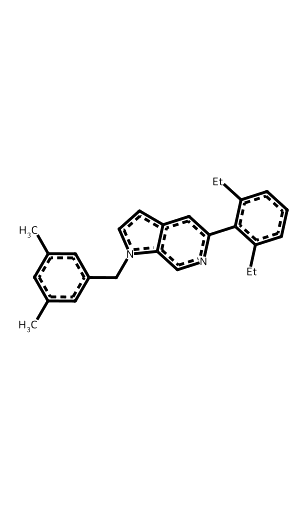 CCc1cccc(CC)c1-c1cc2ccn(Cc3cc(C)cc(C)c3)c2cn1